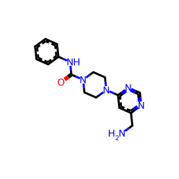 NCc1cc(N2CCN(C(=O)Nc3ccccc3)CC2)ncn1